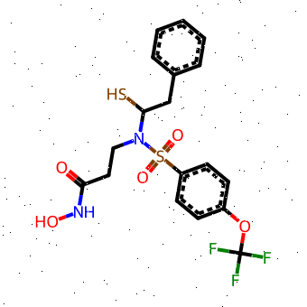 O=C(CCN(C(S)Cc1ccccc1)S(=O)(=O)c1ccc(OC(F)(F)F)cc1)NO